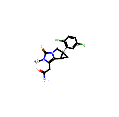 Cn1c(CC(N)=O)c2n(c1=S)C[C@@]1(c3cc(Cl)ccc3F)CC21